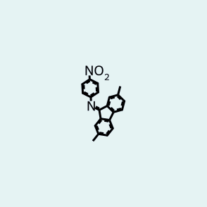 Cc1ccc2c(c1)C(=Nc1ccc([N+](=O)[O-])cc1)c1cc(C)ccc1-2